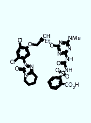 C#CCOc1cc(-n2nc3n(c2=O)CCCC3)c(Cl)cc1Cl.CCOc1nc(NC)nc(NC(=O)NS(=O)(=O)c2ccccc2C(=O)O)n1